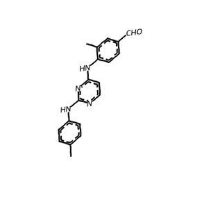 Cc1ccc(Nc2nccc(Nc3ccc(C=O)cc3C)n2)cc1